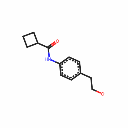 [O]CCc1ccc(NC(=O)C2CCC2)cc1